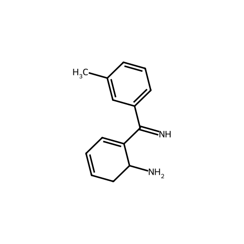 Cc1cccc(C(=N)C2=CC=CCC2N)c1